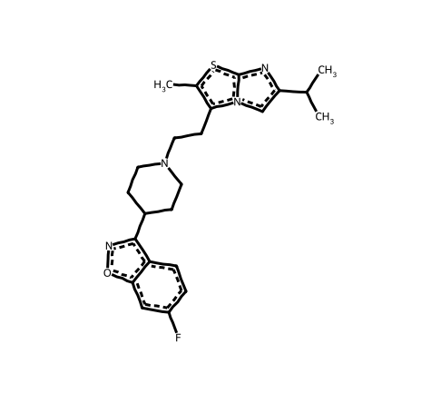 Cc1sc2nc(C(C)C)cn2c1CCN1CCC(c2noc3cc(F)ccc23)CC1